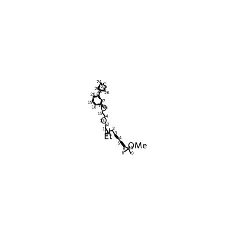 CCN(CC#CC#CC(C)(C)OC)CCOCCOc1cccc(-c2ccsc2)c1